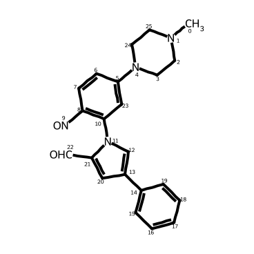 CN1CCN(c2ccc(N=O)c(-n3cc(-c4ccccc4)cc3C=O)c2)CC1